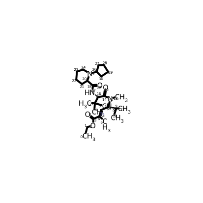 CCOC(=O)/C(C)=C/[C@H](C(C)C)N(C)C(=O)[C@@H](NC(=O)C1CCCCN1C1CCCC1)C(C)(C)C